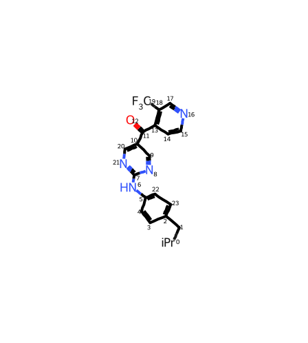 CC(C)Cc1ccc(Nc2ncc(C(=O)c3ccncc3C(F)(F)F)cn2)cc1